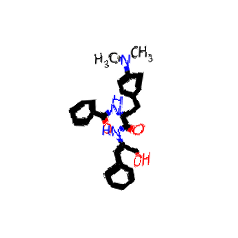 CN(C)c1ccc(CC(NC(=O)c2ccccc2)C(=O)NC(CO)Cc2ccccc2)cc1